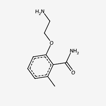 Cc1cccc(OCCN)c1C(N)=O